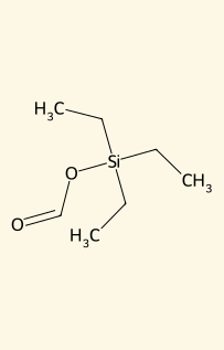 CC[Si](CC)(CC)OC=O